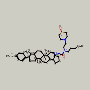 COCCCN(CCN1CC[S+]([O-])CC1)C(=O)NC12CCCC1C1CCC3C4(C)CC=C(c5ccc(C(=O)O)cc5)C(C)C4CCC3(C)[C@]1(C)CC2